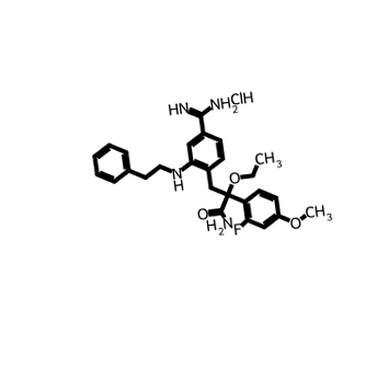 CCOC(Cc1ccc(C(=N)N)cc1NCCc1ccccc1)(C(N)=O)c1ccc(OC)cc1F.Cl